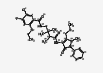 CCOc1cc(F)c(Cl)cc1C(=O)NCC(C)(C)C(C)C(=O)Nc1c(COC)n(C)n(-c2ccccc2)c1=O